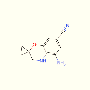 N#Cc1cc(N)c2c(c1)OC1(CC1)CN2